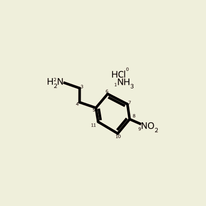 Cl.N.NCCc1ccc([N+](=O)[O-])cc1